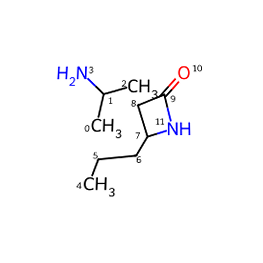 CC(C)N.CCCC1CC(=O)N1